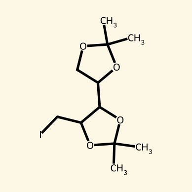 CC1(C)OCC(C2OC(C)(C)OC2CI)O1